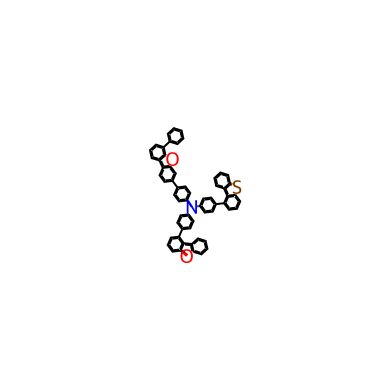 c1ccc(-c2cccc3c2oc2cc(-c4ccc(N(c5ccc(-c6cccc7oc8ccccc8c67)cc5)c5ccc(-c6cccc7sc8ccccc8c67)cc5)cc4)ccc23)cc1